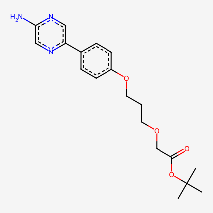 CC(C)(C)OC(=O)COCCCOc1ccc(-c2cnc(N)cn2)cc1